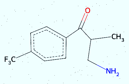 CC(CN)C(=O)c1ccc(C(F)(F)F)cc1